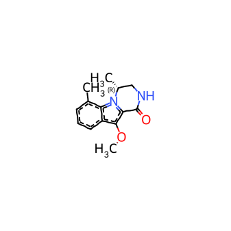 COc1c2n(c3c(C)cccc13)[C@H](C)CNC2=O